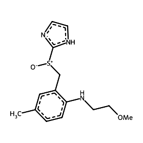 COCCNc1ccc(C)cc1C[S+]([O-])c1ncc[nH]1